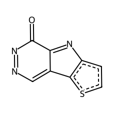 O=C1N=NC=C2C1=Nc1ccsc12